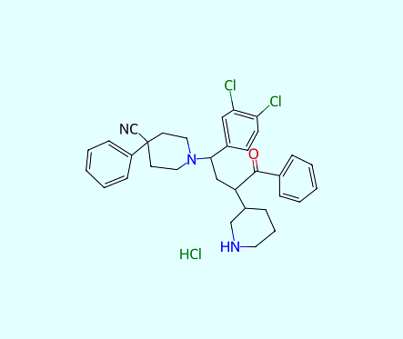 Cl.N#CC1(c2ccccc2)CCN(C(CC(C(=O)c2ccccc2)C2CCCNC2)c2ccc(Cl)c(Cl)c2)CC1